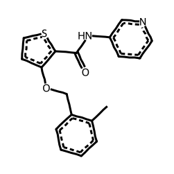 Cc1ccccc1COc1ccsc1C(=O)Nc1cccnc1